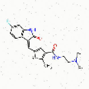 CCN(CC)CCNC(=O)c1cc(/C=C2\C(=O)Nc3cc(F)ccc32)[se]c1C